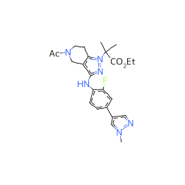 CCOC(=O)C(C)(C)n1nc(Nc2ccc(-c3cnn(C)c3)cc2F)c2c1CCN(C(C)=O)C2